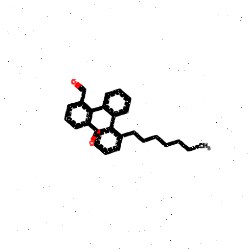 CCCCCCCc1ccccc1-c1ccccc1-c1c(C=O)cccc1C=O